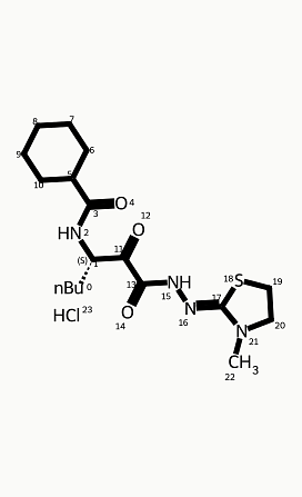 CCCC[C@H](NC(=O)C1CCCCC1)C(=O)C(=O)NN=C1SCCN1C.Cl